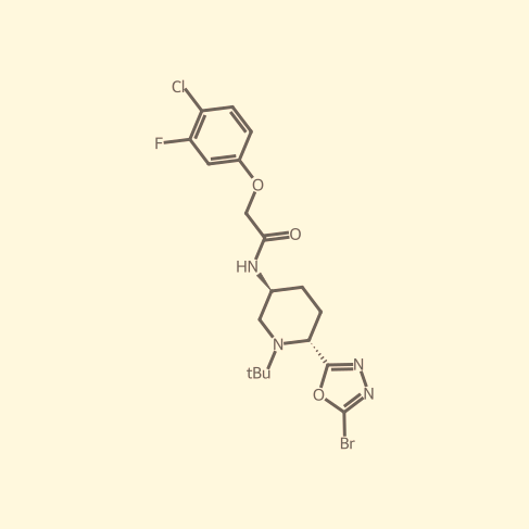 CC(C)(C)N1C[C@@H](NC(=O)COc2ccc(Cl)c(F)c2)CC[C@@H]1c1nnc(Br)o1